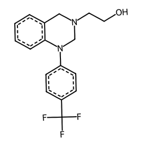 OCCN1Cc2ccccc2N(c2ccc(C(F)(F)F)cc2)C1